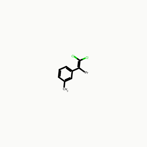 Cc1cccc(C(=C(Cl)Cl)C(C)C)c1